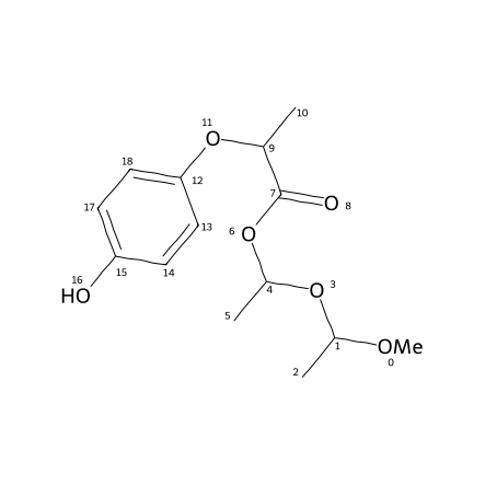 COC(C)OC(C)OC(=O)C(C)Oc1ccc(O)cc1